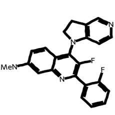 CNc1ccc2c(N3CCc4cnccc43)c(F)c(-c3ccccc3F)nc2c1